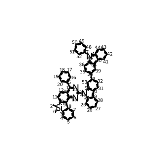 C[Si]1(C)c2ccccc2-c2c1ccc1c(-c3ccccc3)nc(-n3c4ccccc4c4ccc(-c5ccc6c(c5)c5ccccc5n6-c5ccccc5)cc43)nc21